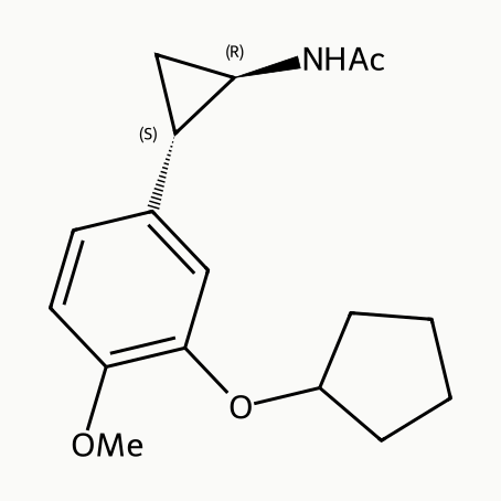 COc1ccc([C@@H]2C[C@H]2NC(C)=O)cc1OC1CCCC1